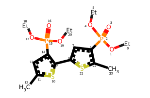 CCOP(=O)(OCC)c1cc(-c2sc(C)cc2P(=O)(OCC)OCC)sc1C